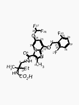 CCC(C)(CNC(=O)c1c(C)nc2c(OCc3c(F)cccc3F)cc(OC(F)F)cn12)NC(=O)O